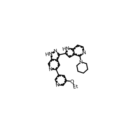 CCOc1cncc(-c2cc3c(-c4cc5c(N6CCCCC6)nccc5[nH]4)n[nH]c3cn2)c1